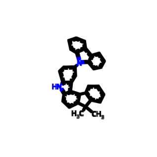 CC1(C)c2ccccc2-c2c1ccc1[nH]c3ccc(-n4c5ccccc5c5ccccc54)cc3c21